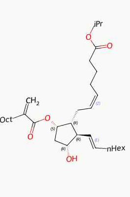 C=C(CCCCCCCC)C(=O)O[C@H]1C[C@@H](O)[C@H](/C=C/CCCCCC)[C@H]1C/C=C\CCCC(=O)OC(C)C